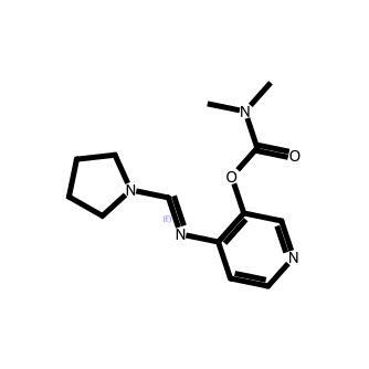 CN(C)C(=O)Oc1cnccc1/N=C/N1CCCC1